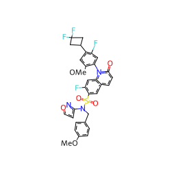 COc1ccc(CN(c2ccon2)S(=O)(=O)c2cc3ccc(=O)n(-c4cc(F)c(C5CC(F)(F)C5)cc4OC)c3cc2F)cc1